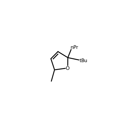 CCCC1(C(C)(C)C)C=CC(C)O1